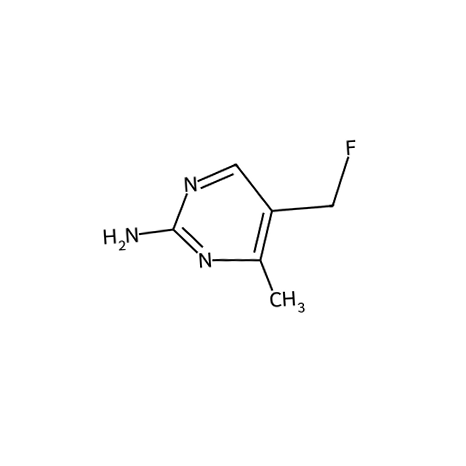 Cc1nc(N)ncc1CF